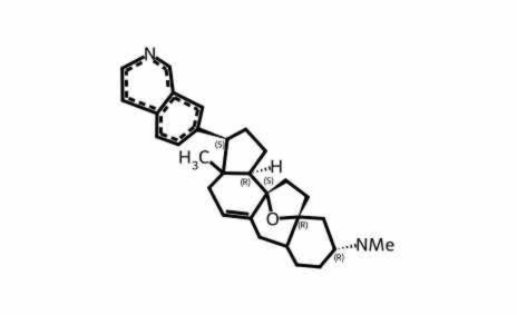 CN[C@@H]1CCC2CC3=CCC4(C)[C@@H](c5ccc6ccncc6c5)CC[C@H]4[C@@]34CC[C@]2(C1)O4